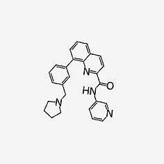 O=C(Nc1cccnc1)c1ccc2cccc(-c3cccc(CN4CCCC4)c3)c2n1